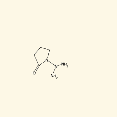 NN(N)N1CCCC1=O